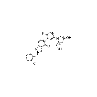 O=c1c2cn(Cc3ccccc3Cl)nc2ccn1-c1cc(N2C[C@@H](O)C[C@H]2CO)ncc1F